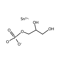 O=P([O-])([O-])OCC(O)CO.[Sn+2]